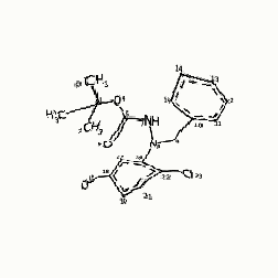 CC(C)(C)OC(=O)NN(Cc1ccccc1)c1cc(Cl)ccc1Cl